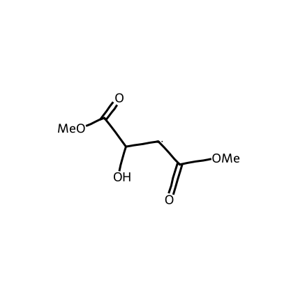 COC(=O)[CH]C(O)C(=O)OC